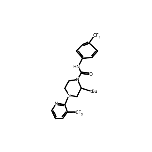 CC(C)(C)C1CN(c2ncccc2C(F)(F)F)CCN1C(=O)Nc1ccc(C(F)(F)F)cc1